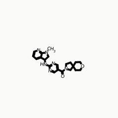 CN1CC(Nc2ncc(C(=O)N3CCC4(CCOCC4)C3)cn2)c2cccnc21